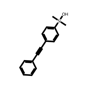 C[Si](C)(O)c1ccc(C#Cc2ccccc2)cc1